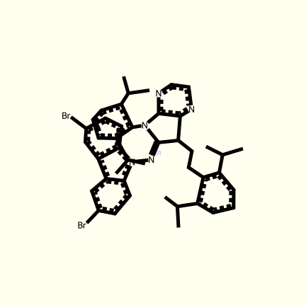 CC(C)c1cccc(C(C)C)c1CCC1/C(=N/n2c3ccc(Br)cc3c3cc(Br)ccc32)N(c2c(C(C)C)cccc2C(C)C)c2nccnc21